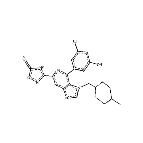 CC1CCC(Cn2cnc3nc(-c4noc(=O)[nH]4)nc(-c4cc(O)cc(Cl)c4)c32)CC1